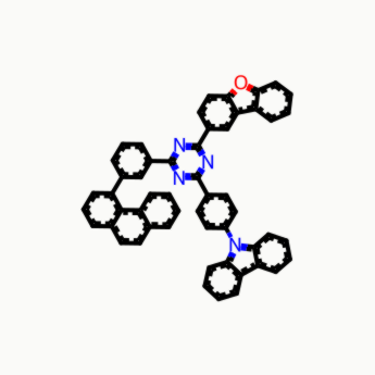 c1cc(-c2nc(-c3ccc(-n4c5ccccc5c5ccccc54)cc3)nc(-c3ccc4oc5ccccc5c4c3)n2)cc(-c2cccc3ccc4ccccc4c23)c1